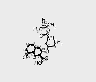 CCC(CNC(=O)OC(C)(C)C)Oc1cc2cccc(Cl)c2cc1C(=O)O